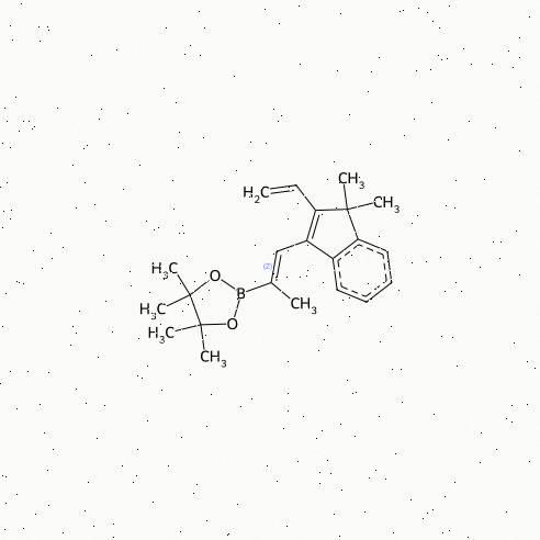 C=CC1=C(/C=C(\C)B2OC(C)(C)C(C)(C)O2)c2ccccc2C1(C)C